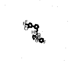 O=C(NCc1cccc(-c2ccc(C(F)(F)F)c(Cl)c2)c1)[C@@H]1CCCN1S(=O)(=O)c1ccc(F)cc1